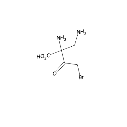 NCC(N)(C(=O)O)C(=O)CBr